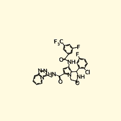 O=C1Cn2c(C(=O)NCc3nnc4ccccn34)cc(NC(=O)c3cc(F)cc(C(F)(F)F)c3)c2C(c2cc(F)ccc2Cl)N1